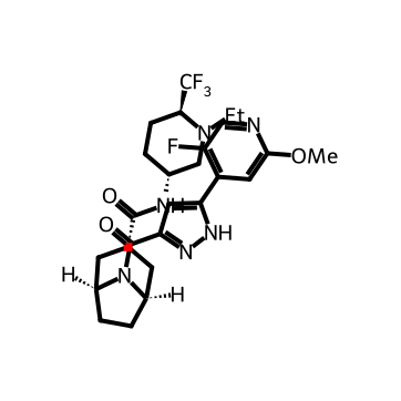 CCN1C[C@H](NC(=O)[C@@H]2C[C@H]3CC[C@@H](C2)N3C(=O)c2cc(-c3cc(OC)ncc3F)[nH]n2)CC[C@H]1C(F)(F)F